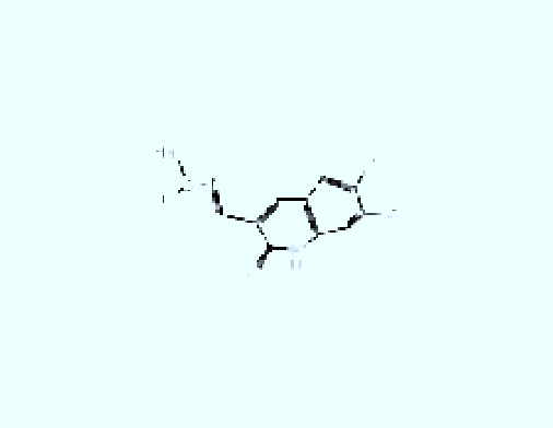 CC(C)(C)[S+]([O-])N=Cc1cc2cc(Cl)c(F)cc2[nH]c1=O